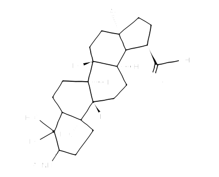 C=C(C)[C@@H]1CC[C@]2(C(C)=O)CC[C@]3(C)[C@H](CC[C@@H]4[C@@]5(C)CCC(NC(C)=O)C(C)(C)C5CC[C@]43C)C12